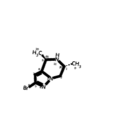 C[C@@H]1Cn2nc(Br)cc2[C@@H](C)N1